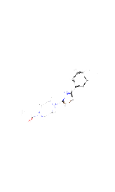 CC(C)(C)C(=O)N1CCN(c2nc(-c3ccc(C(F)(F)F)cc3)cs2)CC1